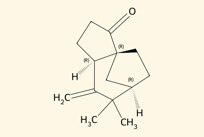 C=C1[C@H]2CCC(=O)[C@@]23CC[C@H](C3)C1(C)C